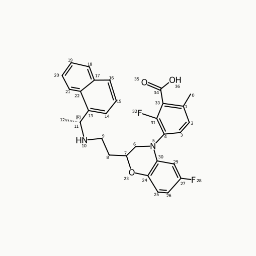 Cc1ccc(N2CC(CCN[C@H](C)c3cccc4ccccc34)Oc3ccc(F)cc32)c(F)c1C(=O)O